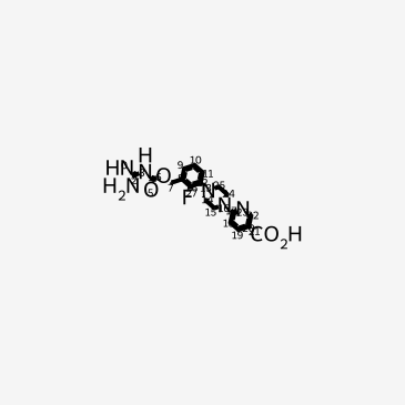 N=C(N)NC(=O)OCc1cccc(N2CCN(c3ccc(C(=O)O)cn3)CC2)c1F